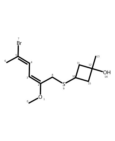 CO/C(=C/C=C(\C)Br)CSC1CC(C)(O)C1